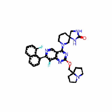 O=C1NCC2(CCCN(c3nc(OCC45CCCN4CCC5)nc4c(F)c(-c5cccc6cccc(F)c56)ncc34)C2)N1